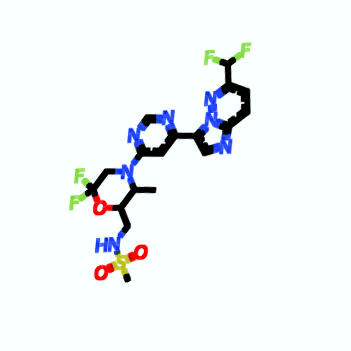 CC1C(CNS(C)(=O)=O)OC(F)(F)CN1c1cc(-c2cnc3ccc(C(F)F)nn23)ncn1